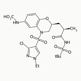 CCn1cc(S(=O)(=O)N2C[C@H](C[C@@H](C)C(=O)NS(=O)(=O)C(C)(C)C)Oc3ccc(NC(=O)O)cc32)c(Cl)n1